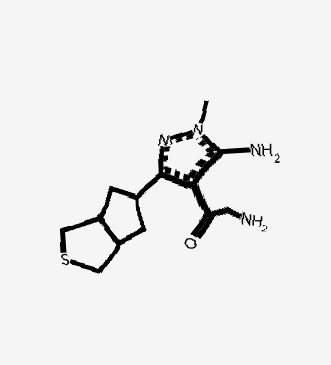 Cn1nc(C2CC3CSCC3C2)c(C(N)=O)c1N